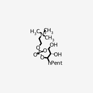 CCCCCC(OP(=O)([O-])OCC[N+](C)(C)C)[C@@H](O)CO